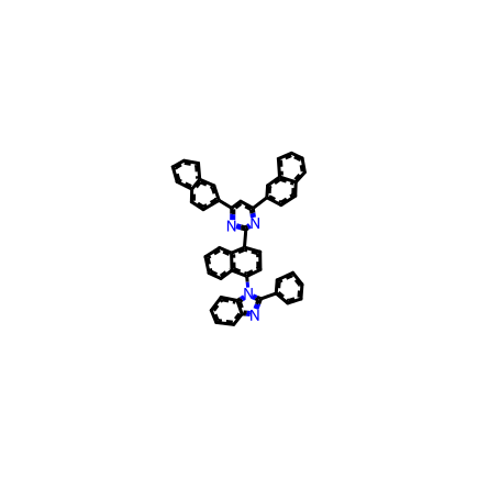 c1ccc(-c2nc3ccccc3n2-c2ccc(-c3nc(-c4ccc5ccccc5c4)cc(-c4ccc5ccccc5c4)n3)c3ccccc23)cc1